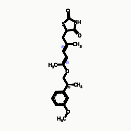 COc1cccc([C@H](C)CO/C(C)=C/C=C(\C)CC2SC(=O)NC2=O)c1